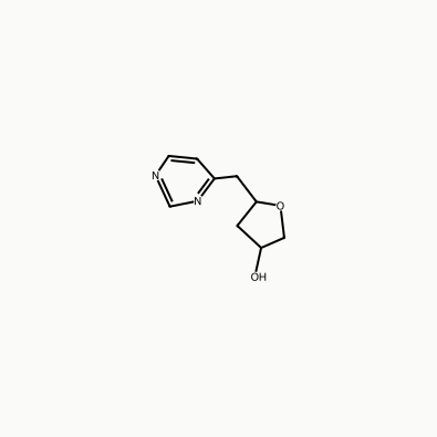 OC1COC(Cc2ccncn2)C1